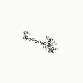 CCN(c1cc(-c2ccc(OCCOCCOCCOCCOCCOS(=O)(=O)c3ccc(C)cc3)cc2)cc(C(=O)NCc2c(C)cc(C)nc2OCc2ccccc2)c1C)C1CCOCC1